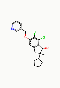 CC1(C2CCCC2)Cc2cc(OCc3cccnc3)c(Cl)c(Cl)c2C1=O